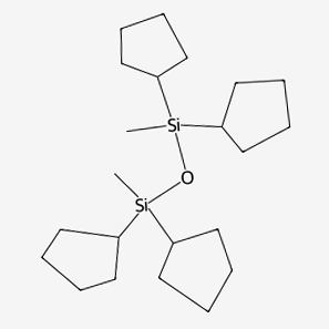 C[Si](O[Si](C)(C1CCCC1)C1CCCC1)(C1CCCC1)C1CCCC1